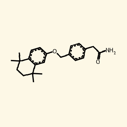 CC1(C)CCC(C)(C)c2cc(OCc3ccc(CC(N)=O)cc3)ccc21